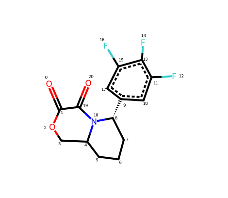 O=C1OCC2CCC[C@@H](c3cc(F)c(F)c(F)c3)N2C1=O